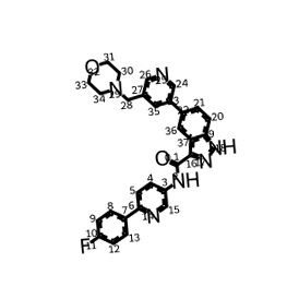 O=C(Nc1ccc(-c2ccc(F)cc2)nc1)c1n[nH]c2ccc(-c3cncc(CN4CCOCC4)c3)cc12